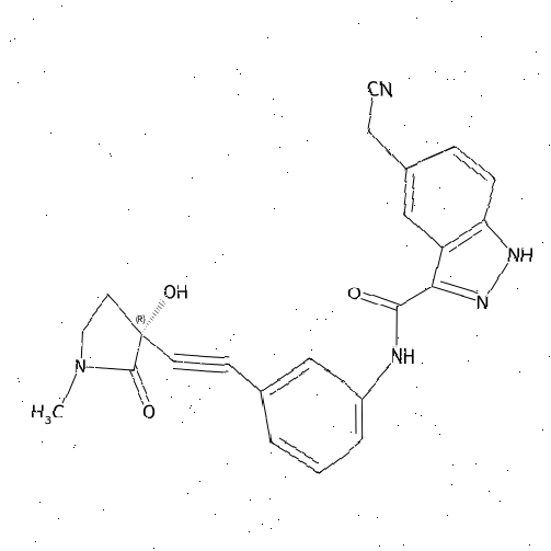 CN1CC[C@@](O)(C#Cc2cccc(NC(=O)c3n[nH]c4ccc(CC#N)cc34)c2)C1=O